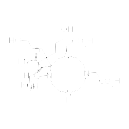 C=C(C(N)=O)C1(C(CCCO)(CCCO)CCCO)CN(CC(=O)O)CCN(CC(=O)O)CCNCCN1CC(=O)O